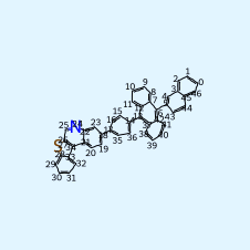 c1ccc2cc(-c3c4ccccc4c(-c4ccc(-c5ccc6c(c5)ncc5sc7ccccc7c56)cc4)c4ccccc34)ccc2c1